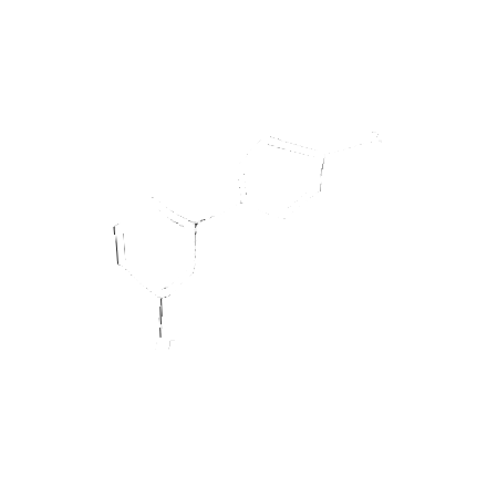 FC(F)(F)c1cccc(-c2c[c]c(Br)cc2)c1